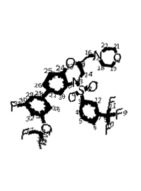 O=S(=O)(c1cccc(C(F)(F)F)c1)N1C[C@H](CN2CCOCC2)Oc2ccc(-c3cc(F)cc(OC(F)F)c3)cc21